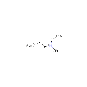 CCCCCCCN(CC)CC#N